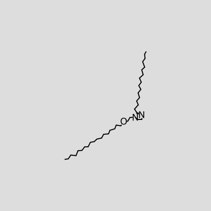 CCCCCCCCCCCCCCCCCCOCCN1CCN=C1CCCCCCCCCCCCCCCC